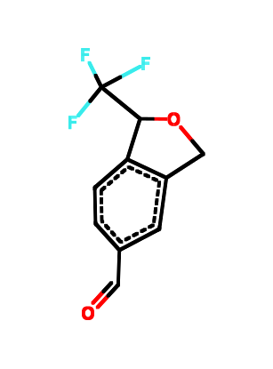 O=Cc1ccc2c(c1)COC2C(F)(F)F